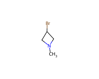 CN1CC(Br)C1